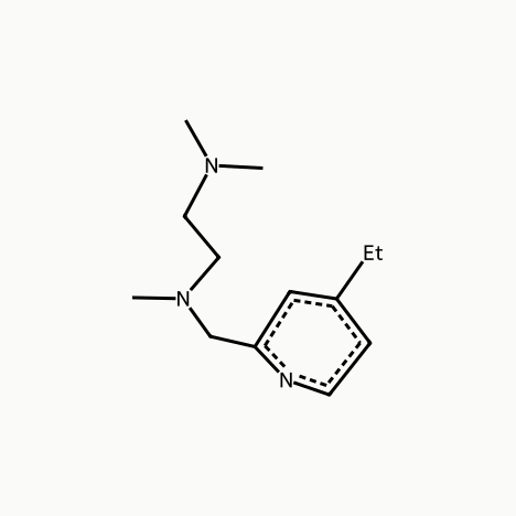 CCc1ccnc(CN(C)CCN(C)C)c1